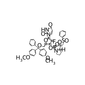 COc1ccc(C(OC[C@H]2O[C@@H](n3ccc(=O)[nH]c3=O)[C@@H](F)[C@@H]2O[P@@]2O[C@H](CS(=O)(=O)c3ccccc3)[C@@H]3CCCN32)(c2ccccc2)c2ccc(OC)cc2)cc1